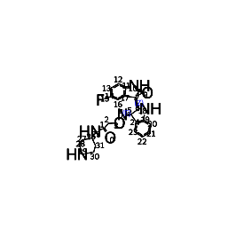 O=C(CO/N=C1/C(=C2/C(=O)Nc3ccc(F)cc32)Nc2ccccc21)NC1CCNCC1